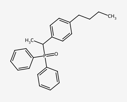 CCCCc1ccc(C(C)P(=O)(c2ccccc2)c2ccccc2)cc1